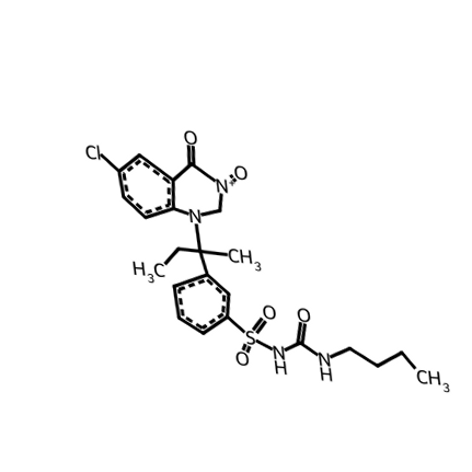 CCCCNC(=O)NS(=O)(=O)c1cccc(C(C)(CC)N2C[N+](=O)C(=O)c3cc(Cl)ccc32)c1